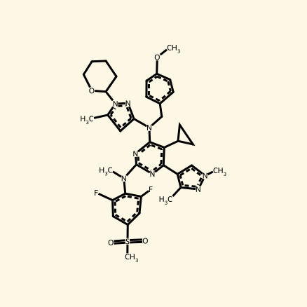 COc1ccc(CN(c2cc(C)n(C3CCCCO3)n2)c2nc(N(C)c3c(F)cc(S(C)(=O)=O)cc3F)nc(-c3cn(C)nc3C)c2C2CC2)cc1